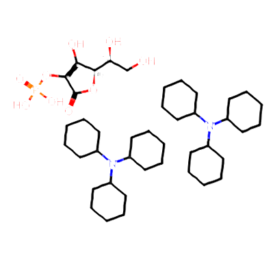 C1CCC(N(C2CCCCC2)C2CCCCC2)CC1.C1CCC(N(C2CCCCC2)C2CCCCC2)CC1.O=C1O[C@H]([C@@H](O)CO)C(O)=C1OP(=O)(O)O